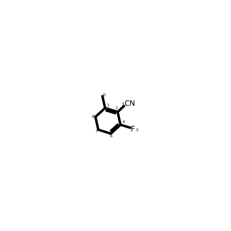 CC1=C(C#N)C(F)=CCC1